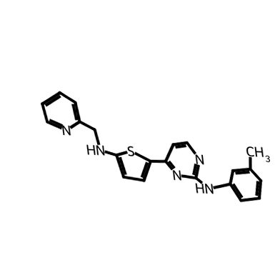 Cc1cccc(Nc2nccc(-c3ccc(NCc4ccccn4)s3)n2)c1